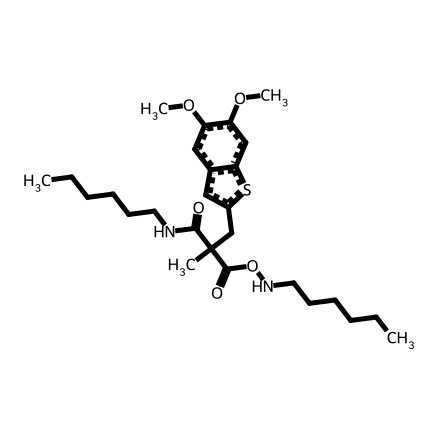 CCCCCCNOC(=O)C(C)(Cc1cc2cc(OC)c(OC)cc2s1)C(=O)NCCCCCC